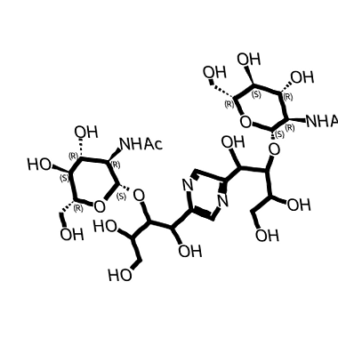 CC(=O)N[C@H]1[C@H](OC(C(O)CO)C(O)c2cnc(C(O)C(O[C@@H]3O[C@H](CO)[C@@H](O)[C@H](O)[C@H]3NC(C)=O)C(O)CO)cn2)O[C@H](CO)[C@@H](O)[C@@H]1O